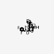 CC(C)CN1C2CN3/C=C(/C(=O)NCc4ccc(F)cc4F)COC/C(O)=C\3C(=O)N2C[C@@H]1C